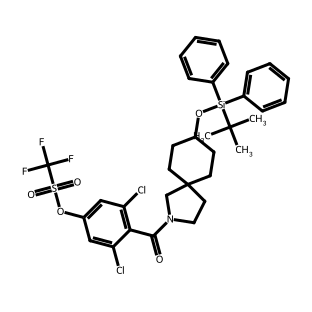 CC(C)(C)[Si](OC1CCC2(CC1)CCN(C(=O)c1c(Cl)cc(OS(=O)(=O)C(F)(F)F)cc1Cl)C2)(c1ccccc1)c1ccccc1